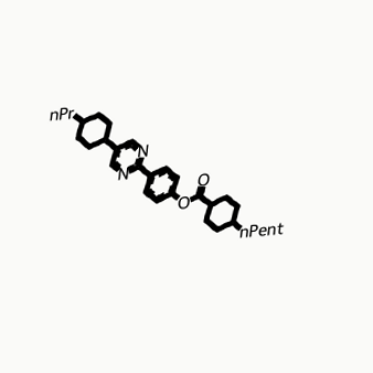 CCCCCC1CCC(C(=O)Oc2ccc(-c3ncc(C4CCC(CCC)CC4)cn3)cc2)CC1